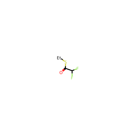 CCSC(=O)C(F)F